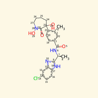 Cc1cc(C(=O)N[C@@H](C)c2nc3cc(Cl)ccc3[nH]2)ccc1C1(O)CCCCN(O)C1=O